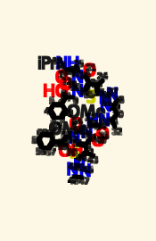 COc1ccccc1[C@@H](O)Cn1c(=O)n([C@H](C)C(=O)NC(C)C)c(=O)c2c(C)c(-n3ncc(CC(C)NC(=O)[C@H](C)n4c(=O)c5c(C)c(-n6nccn6)sc5n(C[C@H](O)c5ccccc5OC)c4=O)n3)sc21